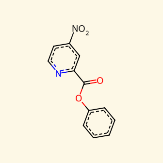 O=C(Oc1ccccc1)c1cc([N+](=O)[O-])ccn1